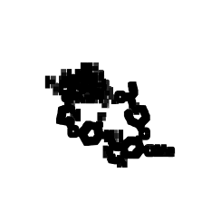 BC(B)(B)C(NC(=O)n1ccc(Oc2ccc(Nc3ncnc4cc(OC)c(OC5CCN(C(=O)C=C)CC5)cc34)c(F)c2)n1)(C(B)(B)B)C(B)(B)B